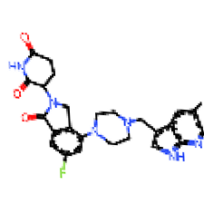 Cc1cnc2[nH]cc(CN3CCN(c4cc(F)cc5c4CN(C4CCC(=O)NC4=O)C5=O)CC3)c2c1